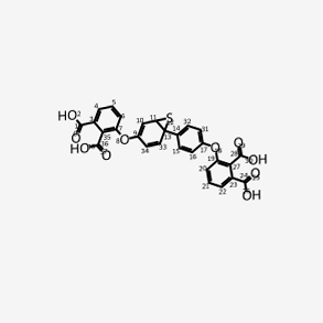 O=C(O)c1cccc(OC2=CC3SC3(c3ccc(Oc4cccc(C(=O)O)c4C(=O)O)cc3)C=C2)c1C(=O)O